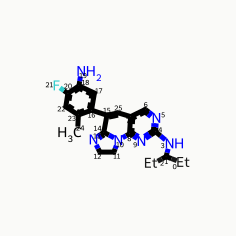 CCC(CC)Nc1ncc2c(n1)N1CCN=C1C(c1cc(N)c(F)cc1C)=C2